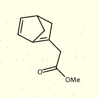 COC(=O)CC1=C2C=CC(C2)C1